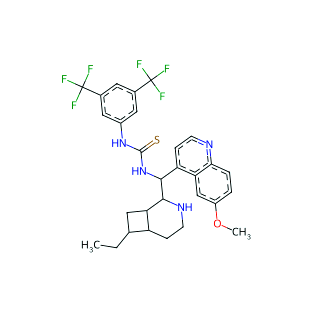 CCC1CC2C1CCNC2C(NC(=S)Nc1cc(C(F)(F)F)cc(C(F)(F)F)c1)c1ccnc2ccc(OC)cc12